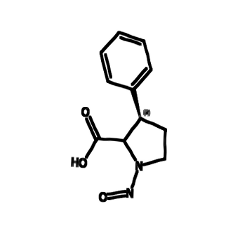 O=NN1CC[C@H](c2ccccc2)C1C(=O)O